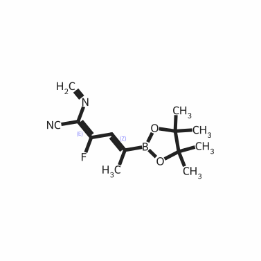 C=N/C(C#N)=C(F)\C=C(/C)B1OC(C)(C)C(C)(C)O1